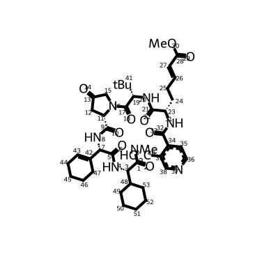 CNC(=O)[C@@H](NC(=O)[C@@H](NC(=O)[C@@H]1CC(=O)CN1C(=O)[C@@H](NC(=O)[C@H](CC/C=C/C(=O)OC)NC(=O)c1ccncc1C(=O)O)C(C)(C)C)C1=CCCCC1)C1CCCCC1